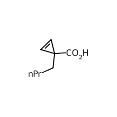 CCCCC1(C(=O)O)C=C1